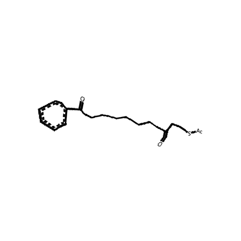 CC(=O)SCC(=O)CCCCCCC(=O)c1ccccc1